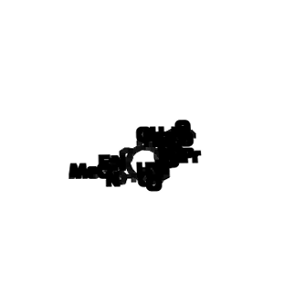 C=CS(=O)(=O)N1CCC(O)(C(=O)N(C)[C@H](C(=O)N[C@H]2Cc3cc(O)cc(c3)-c3ccc4c(c3)c(c(-c3cccnc3[C@H](C)OC)n4CC)CC(C)(C)COC(=O)[C@@H]3CCCN(N3)C2=O)C(C)C)C1